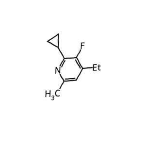 CCc1cc(C)nc(C2CC2)c1F